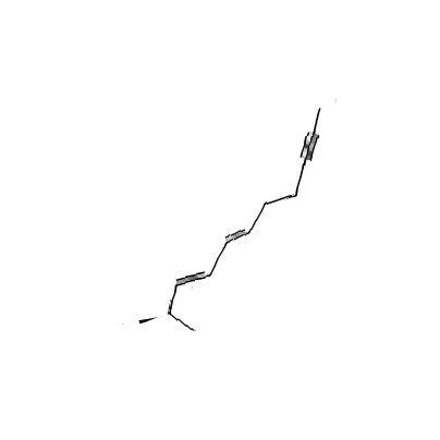 CCCC#CCC/C=C/C=C/[C@@H](O)CCCCC